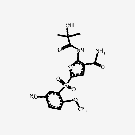 CC(C)(O)C(=O)Nc1sc(S(=O)(=O)c2cc(C#N)ccc2OC(F)(F)F)cc1C(N)=O